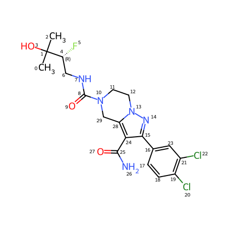 CC(C)(O)[C@H](F)CNC(=O)N1CCn2nc(-c3ccc(Cl)c(Cl)c3)c(C(N)=O)c2C1